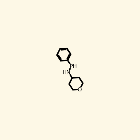 c1ccc(PNC2CCOCC2)cc1